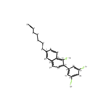 CCCCCCCc1ccc2c(F)c(-c3cc(F)cc(F)c3)ccc2c1